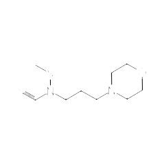 CSN(C=S)CCCN1CCOCC1